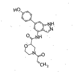 C=CC(=O)N1CCOC(C(=O)Nc2cc(-c3ccc(O)cc3)cc3[nH]ncc23)C1